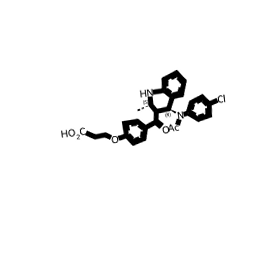 CC(=O)N(c1ccc(Cl)cc1)[C@H]1c2ccccc2N[C@@H](C)C1C(=O)c1ccc(OCCC(=O)O)cc1